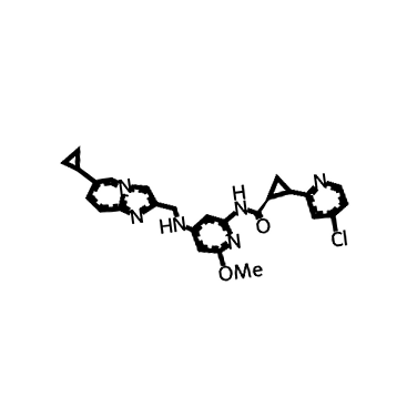 COc1cc(NCc2cn3cc(C4CC4)ccc3n2)cc(NC(=O)[C@H]2CC2c2cc(Cl)ccn2)n1